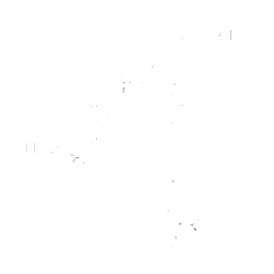 CCCCCC[C@@H](C/C=C\CCCCCCCC(=O)O)Oc1ccc(CCC(C)=O)cc1